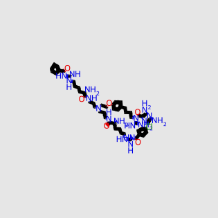 N=C(NCCCC[C@H](N)C(=O)NCCCN(CCCNC(=O)[C@@H](N)CCCCNC(=N)NC(=O)c1ccccc1)CCOc1ccc(CCCCN(C(=N)N)C(=O)c2nc(Cl)c(N)nc2N)cc1)NC(=O)c1ccccc1